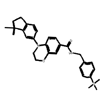 CC1(C)CCc2ccc(N3CCOc4cc(C(=O)NCc5ccc(S(C)(C)C)cc5)ccc43)cc21